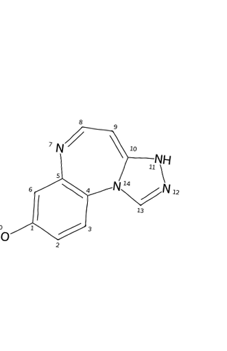 Oc1ccc2c(c1)N=CC=C1NN=CN12